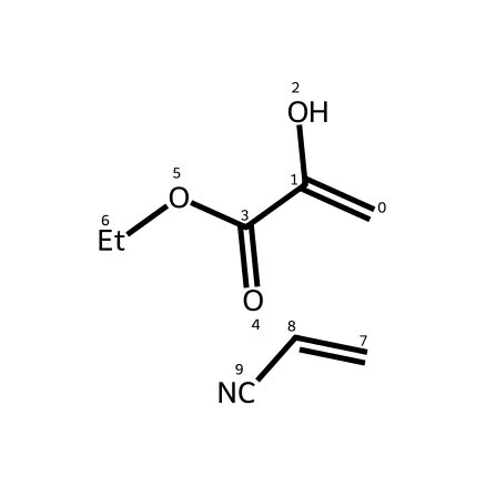 C=C(O)C(=O)OCC.C=CC#N